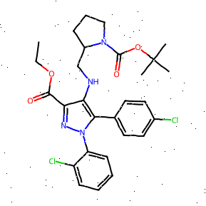 CCOC(=O)c1nn(-c2ccccc2Cl)c(-c2ccc(Cl)cc2)c1NCC1CCCN1C(=O)OC(C)(C)C